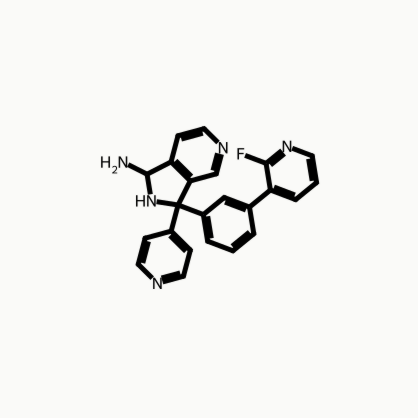 NC1NC(c2ccncc2)(c2cccc(-c3cccnc3F)c2)c2cnccc21